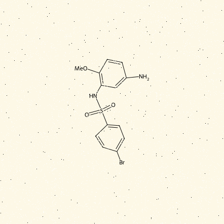 COc1ccc(N)cc1NS(=O)(=O)c1ccc(Br)cc1